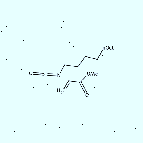 C=CC(=O)OC.CCCCCCCCCCCCN=C=O